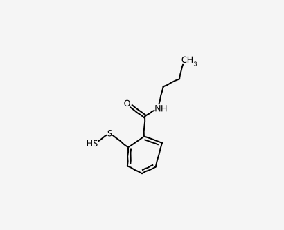 CCCNC(=O)c1ccccc1SS